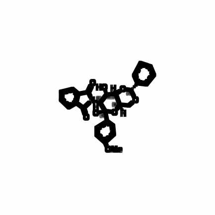 COc1ccc([C@@]2(O)O[C@@H]3CO[C@@H](c4ccccc4)O[C@H]3[C@H](O)[C@H]2N2C(=O)c3ccccc3C2=O)cc1